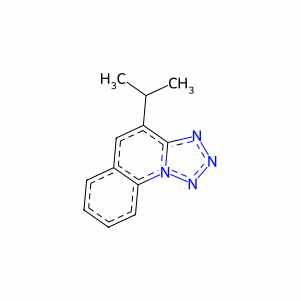 CC(C)c1cc2ccccc2n2nnnc12